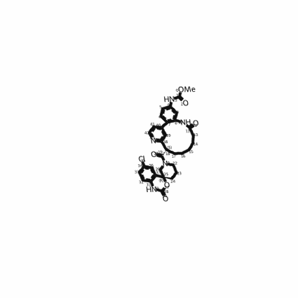 COC(=O)Nc1ccc2c(c1)NC(=O)CCCCC[C@H](C(=O)N1CCC[C@@]3(C1)OC(=O)Nc1ccc(Cl)cc13)c1cc-2ccn1